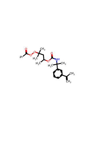 C=C(C)c1cccc(C(C)(C)NC(=O)OC(C)CC(C)(C)OOC(=O)C(C)C)c1